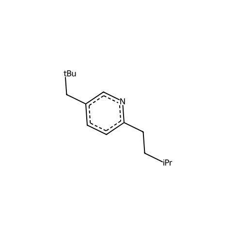 CC(C)CCc1ccc(CC(C)(C)C)cn1